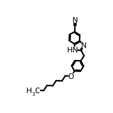 CCCCCCCOc1ccc(Cc2nc3cc(C#N)ccc3[nH]2)cc1